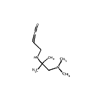 CN(C)CC(C)(C)NCC=C=O